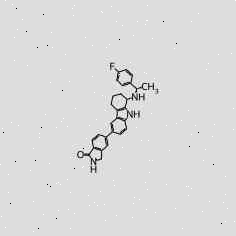 C[C@@H](NC1CCCc2c1[nH]c1ccc(-c3ccc4c(c3)CNC4=O)cc21)c1ccc(F)cc1